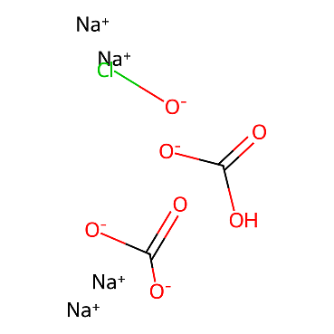 O=C([O-])O.O=C([O-])[O-].[Na+].[Na+].[Na+].[Na+].[O-]Cl